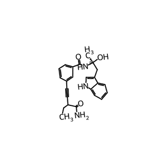 CCC(C#Cc1cccc(C(=O)N[C@](C)(O)Cc2c[nH]c3ccccc23)c1)C(N)=O